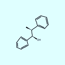 C[C@@H](c1ccccc1)[C@@H](O)c1ccccc1